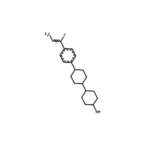 CCCC1CCC(C2CCC(c3ccc(/C(F)=C/C(F)(F)F)cc3)CC2)CC1